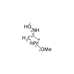 CCCC.COCCCNO